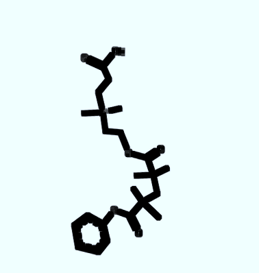 CC(C)(CC(C)(C)C(=O)Oc1ccccc1)C(=O)OCC[N+](C)(C)CCC(=O)O